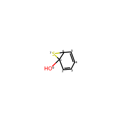 OC12C=CC=CC1S2